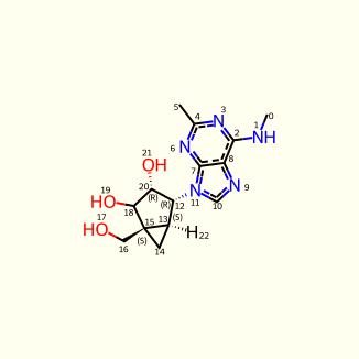 CNc1nc(C)nc2c1ncn2[C@@H]1[C@H]2C[C@]2(CO)C(O)[C@@H]1O